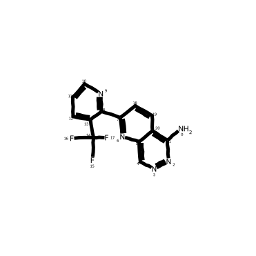 Nc1nncc2nc(-c3ncccc3C(F)(F)F)ccc12